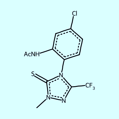 CC(=O)Nc1cc(Cl)ccc1-n1c(C(F)(F)F)nn(C)c1=S